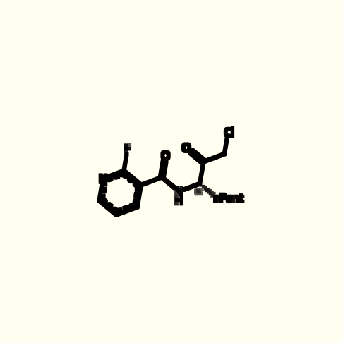 CCCCC[C@H](NC(=O)c1cccnc1F)C(=O)CCl